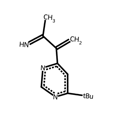 C=C(C(C)=N)c1cc(C(C)(C)C)ncn1